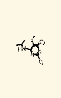 CSc1c(Cl)nc(Cl)nc1NC(C)C